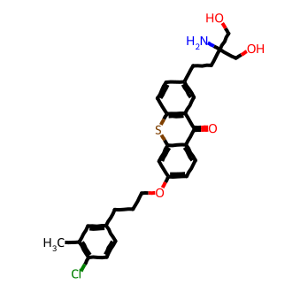 Cc1cc(CCCOc2ccc3c(=O)c4cc(CCC(N)(CO)CO)ccc4sc3c2)ccc1Cl